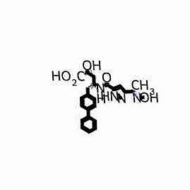 C/C(=N\O)c1cc(C(=O)N[C@H](Cc2ccc(-c3ccccc3)cc2)C[C@@H](O)C(=O)O)[nH]n1